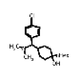 CCCCCCC1(O)CCC(C(c2ccc(Cl)cc2)N(C)C)CC1